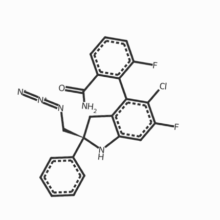 [N-]=[N+]=NC[C@@]1(c2ccccc2)Cc2c(cc(F)c(Cl)c2-c2c(F)cccc2C(N)=O)N1